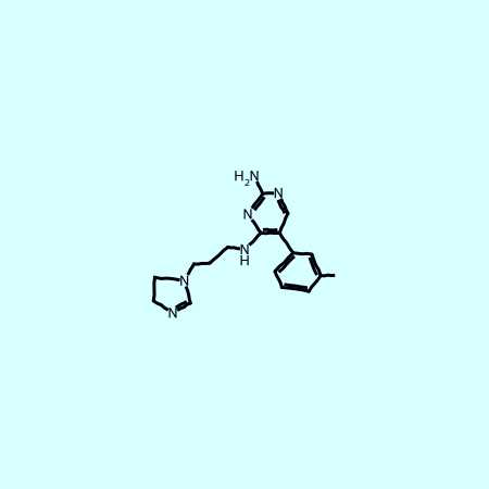 Cc1cccc(-c2cnc(N)nc2NCCCN2C=NCC2)c1